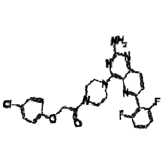 Nc1nc(N2CCN(C(=O)COc3ccc(Cl)cc3)CC2)c2nc(-c3c(F)cccc3F)ccc2n1